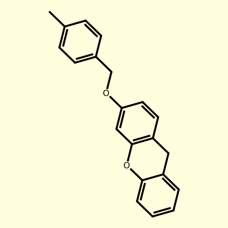 Cc1ccc(COc2ccc3c(c2)Oc2ccccc2C3)cc1